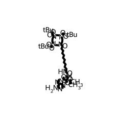 CC(C)(C)OC(=O)N1CCN(C(=O)CCCCCCCCCCNC(=O)[C@H]2O[C@@H](n3cnc4c(N)ncnc43)[C@@H]3OC(C)(C)O[C@H]32)CCN(C(=O)OC(C)(C)C)CCN(C(=O)OC(C)(C)C)CC1